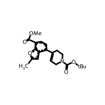 COC(=O)c1ccc(C2=CCN(C(=O)OC(C)(C)C)CC2)c2cc(C)oc12